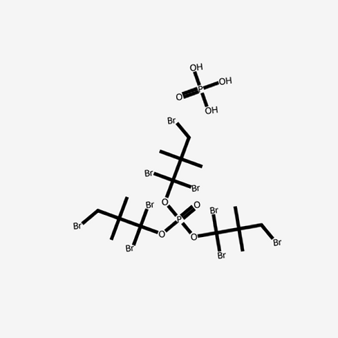 CC(C)(CBr)C(Br)(Br)OP(=O)(OC(Br)(Br)C(C)(C)CBr)OC(Br)(Br)C(C)(C)CBr.O=P(O)(O)O